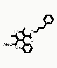 COC(=O)C1=C(C)NC(C)=C(C(=O)OCC=Cc2ccccc2)C1c1ccccc1F